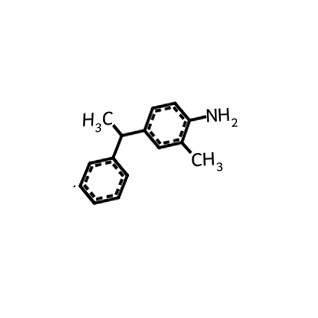 Cc1cc(C(C)c2c[c]ccc2)ccc1N